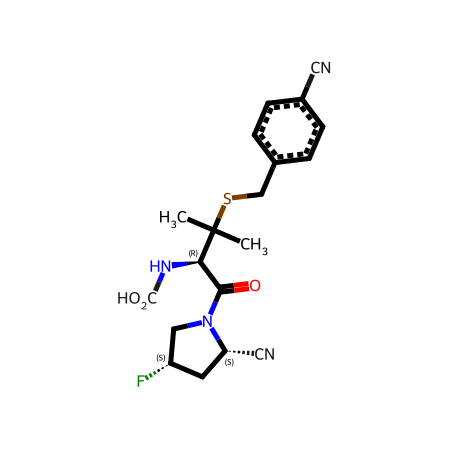 CC(C)(SCc1ccc(C#N)cc1)[C@H](NC(=O)O)C(=O)N1C[C@@H](F)C[C@H]1C#N